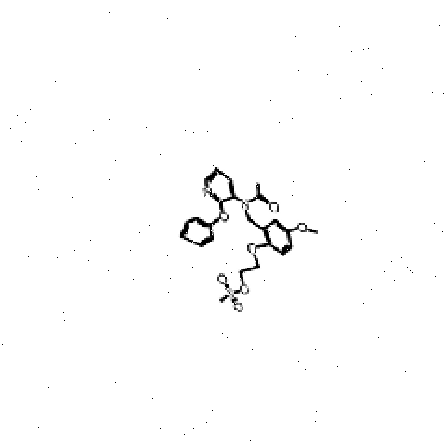 COc1ccc(OCCOS(C)(=O)=O)c(CN(C(C)=O)c2cccnc2Oc2ccccc2)c1